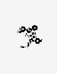 COCCN1C[C@@H](NC(=O)Nc2c(C)c(-c3ccnc(CO)c3)nn2-c2ccccc2)[C@H](c2ccc(F)c(F)c2)O1